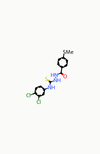 CSc1ccc(C(=O)NNC(=S)Nc2ccc(Cl)c(Cl)c2)cc1